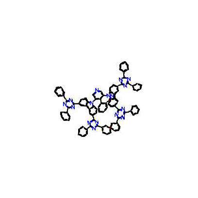 N#Cc1ccccc1-c1c(-n2c3ccc(-c4nc(-c5ccccc5)nc(-c5ccccc5)n4)cc3c3cc(-c4nc(-c5ccccc5)nc(-c5ccccc5)n4)ccc32)cncc1-n1c2ccc(-c3nc(-c4ccccc4)nc(-c4ccccc4)n3)cc2c2cc(-c3nc(-c4ccccc4)nc(-c4ccccc4)n3)ccc21